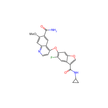 COc1cc2nccc(Oc3cc4occ(C(=O)NC5CC5)c4cc3F)c2cc1C(N)=O